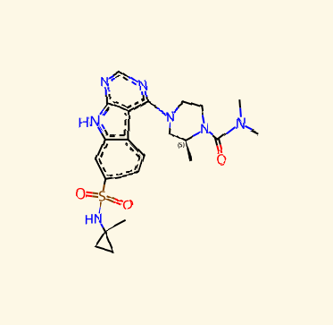 C[C@H]1CN(c2ncnc3[nH]c4cc(S(=O)(=O)NC5(C)CC5)ccc4c23)CCN1C(=O)N(C)C